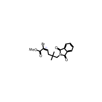 COC(=O)/C(Br)=C\CC(C)(C)CN1C(=O)c2ccccc2C1=O